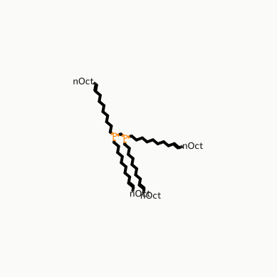 CCCCCCCCC=CCCCCCCCCP(CCCCCCCCC=CCCCCCCCC)CP(CCCCCCCCC=CCCCCCCCC)CCCCCCCCC=CCCCCCCCC